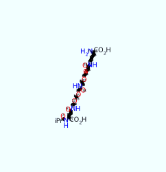 CC(C)C(=O)N[C@@H](CCC(=O)NCCOCCOCC(=O)NCCOCCOCC(=O)NCCCC[C@H](N)C(=O)O)C(=O)O